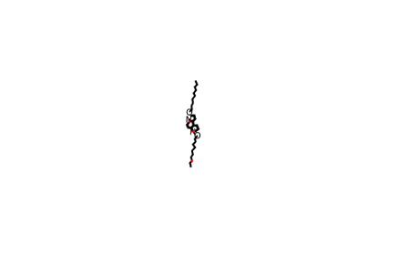 CCCCCCCCCCOc1ccc2c(ccc3nc(OCCCCCCCCCC)ccc32)n1